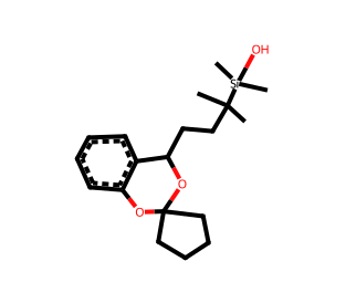 CC(C)(CCC1OC2(CCCC2)Oc2ccccc21)[Si](C)(C)O